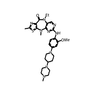 CCN1C(=O)c2nc(C)sc2N(C)c2nc(Nc3ccc(N4CCC(N5CCN(C)CC5)CC4)cc3OC)ncc21